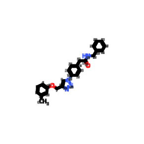 Cc1cccc(OCc2cn(-c3ccc(CC(=O)NCc4ccccc4)cc3)nn2)c1